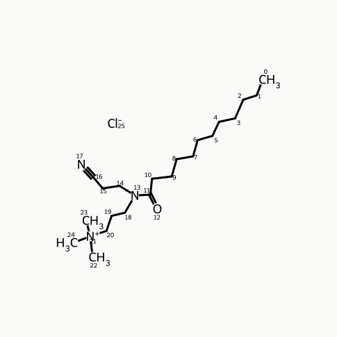 CCCCCCCCCCCC(=O)N(CCC#N)CCC[N+](C)(C)C.[Cl-]